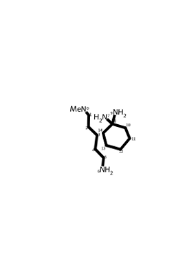 CNCCCCCN.NC1(N)CCCCC1